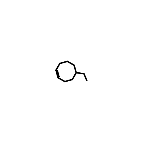 C[CH]C1CC/C=C\CCC1